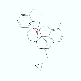 CO[C@]12CCC3(C[C@@H]1[C@](C)(O)c1ccccc1C)C1Cc4ccc(O)c5c4[C@@]3(CCN1CC1CC1)[C@@H]2O5